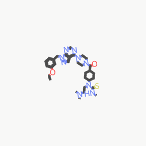 CCOc1cccc(Cn2ncc3c(N4CCN(C(=O)C5CCC(N(CCN(C)C)C(=S)NC)CC5)CC4)ncnc32)c1